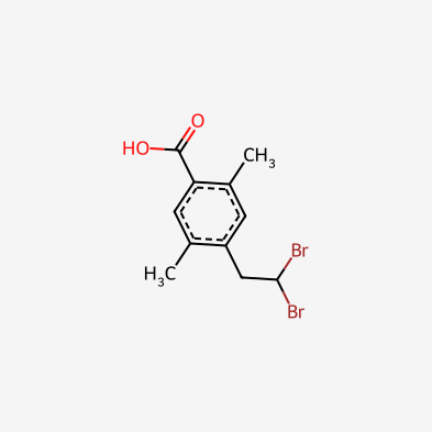 Cc1cc(C(=O)O)c(C)cc1CC(Br)Br